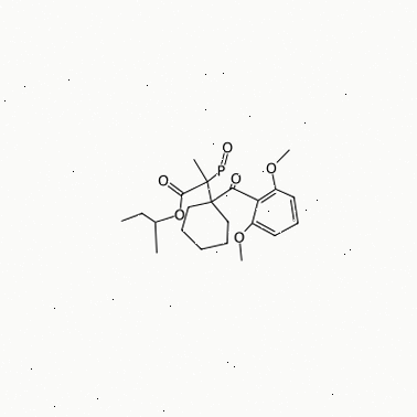 CCC(C)OC(=O)C(C)(P=O)C1(C(=O)c2c(OC)cccc2OC)CCCCC1